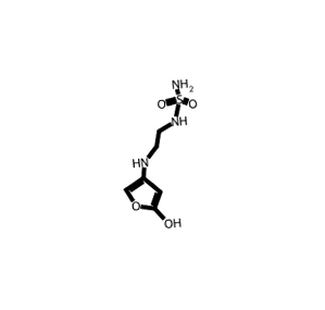 NS(=O)(=O)NCCNc1coc(O)c1